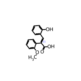 COc1ccccc1/C(=C\c1ccccc1O)C(=O)O